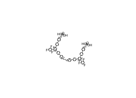 O=P(O)(O)CC[n+]1ccc(-c2ccc(-c3cc(-c4ccc(-c5cc[n+](CCC[n+]6ccc(-c7ccc(-c8cc(-c9ccc(-c%10cc[n+](CCP(=O)(O)O)cc%10)cc9)nc(-c9c(F)cc(F)cc9F)n8)cc7)cc6)cc5)cc4)nc(-c4c(F)cc(F)cc4F)n3)cc2)cc1